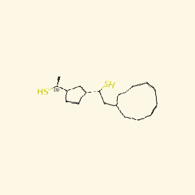 C[C@H](S)C1CCC(C(S)CC2CCCCCCCC2)C1